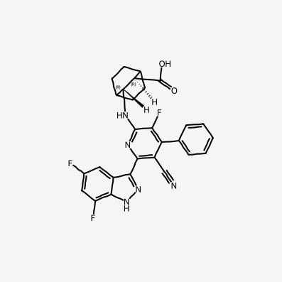 N#Cc1c(-c2n[nH]c3c(F)cc(F)cc23)nc(N[C@@H]2C3CCC(CC3)[C@H]2C(=O)O)c(F)c1-c1ccccc1